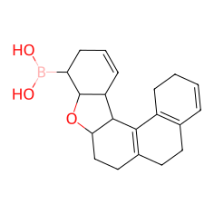 OB(O)C1CC=CC2C1OC1CCC3=C(C4=C(C=CCC4)CC3)C12